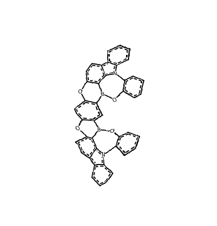 c1ccc2c(c1)OB1c3cc4c(cc3Oc3ccc5c6ccccc6n-2c5c31)Oc1ccc2c3ccccc3n3c2c1B4Oc1ccccc1-3